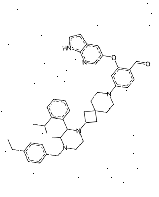 CCc1ccc(CN2CCN(C3CC4(CCN(c5ccc(C=O)c(Oc6cnc7[nH]ccc7c6)c5)CC4)C3)C(c3ccccc3C(C)C)C2C)cc1